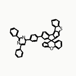 c1ccc(-c2cc(-c3ccc(-c4ccc5c(c4)C4(c6ccccc6Oc6ccccc64)c4ccc6sc7ccccc7c6c4-5)cc3)nc(-c3ccccc3)n2)cc1